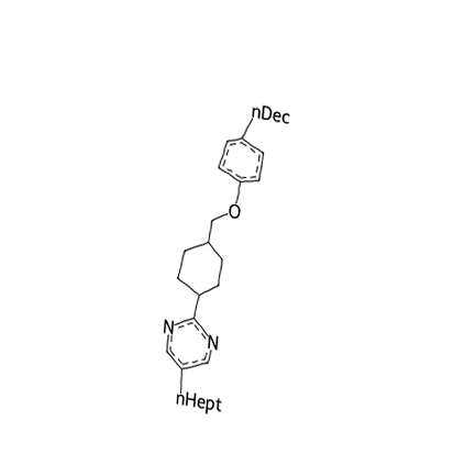 CCCCCCCCCCc1ccc(OCC2CCC(c3ncc(CCCCCCC)cn3)CC2)cc1